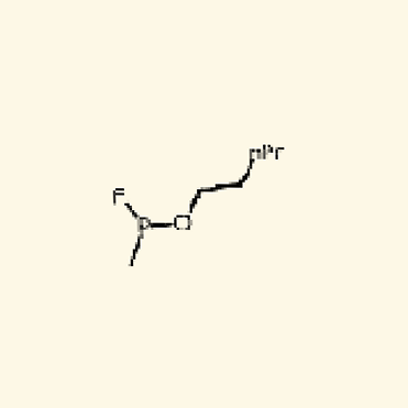 CCCCCOP(C)F